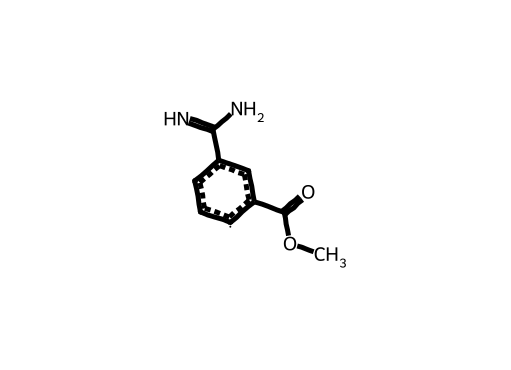 COC(=O)c1[c]ccc(C(=N)N)c1